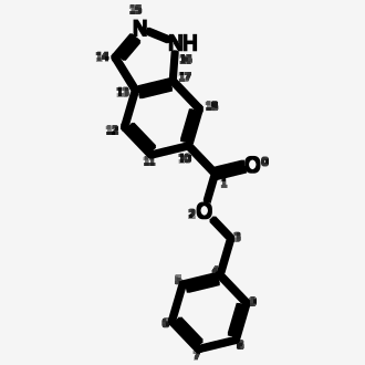 O=C(OCc1ccccc1)c1ccc2cn[nH]c2c1